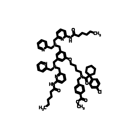 CCCCCC(=O)Nc1cccc(CN(Cc2cc(CN(Cc3ccccn3)Cc3cccc(NC(=O)CCCCC)n3)cc(OCCCCN(Cc3ccc(C(=O)OC)cc3)C(=O)C3(c4ccc(Cl)cc4)CCCCC3)c2)Cc2ccccn2)n1